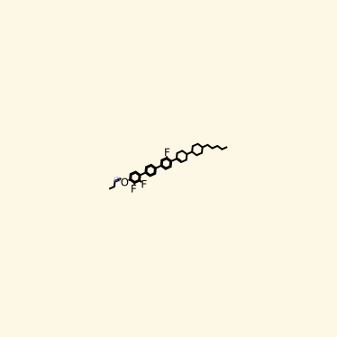 CC/C=C\Oc1ccc(-c2ccc(-c3ccc(C4=CCC(C5CCC(CCCCC)CC5)CC4)c(F)c3)cc2)c(F)c1F